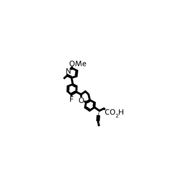 CC#C[C@@H](CC(=O)O)c1ccc2c(c1)CCC(c1cc(-c3ccc(OC)nc3C)ccc1F)O2